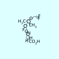 Cc1cc(OCCC2CC(F)(F)C2)cc(C)c1-c1ccc(F)c(COc2cc3c(cn2)[C@H]2[C@@H](C3)[C@@H]2C(=O)O)c1